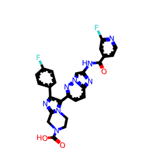 O=C(Nc1cn2nc(-c3c(-c4ccc(F)cc4)nc4n3CCN(C(=O)O)C4)ccc2n1)c1ccnc(F)c1